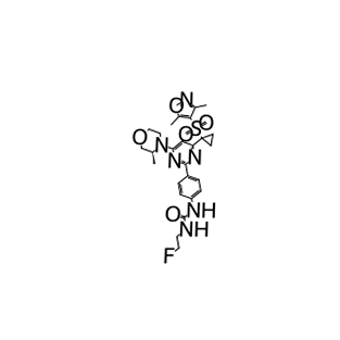 Cc1noc(C)c1S(=O)(=O)C1(c2cc(N3CCOC[C@@H]3C)nc(-c3ccc(NC(=O)NCCF)cc3)n2)CC1